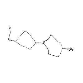 CCCC1CCC(C2CCC(CBr)CC2)CC1